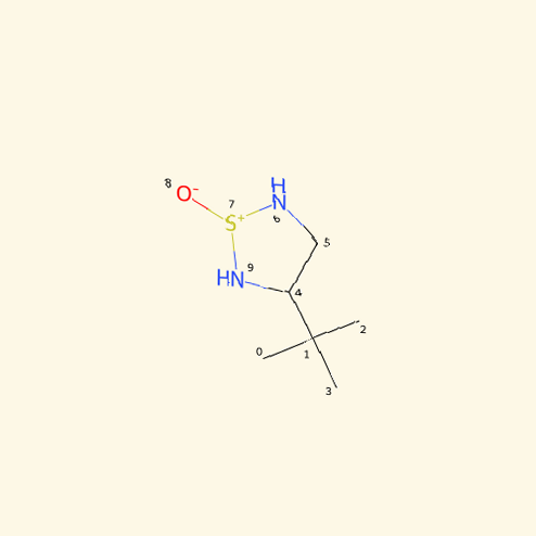 CC(C)(C)C1CN[S+]([O-])N1